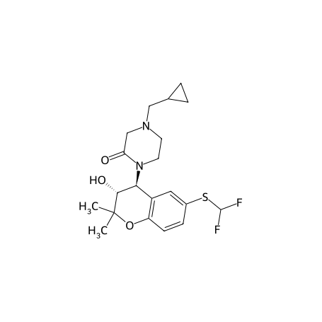 CC1(C)Oc2ccc(SC(F)F)cc2[C@H](N2CCN(CC3CC3)CC2=O)[C@H]1O